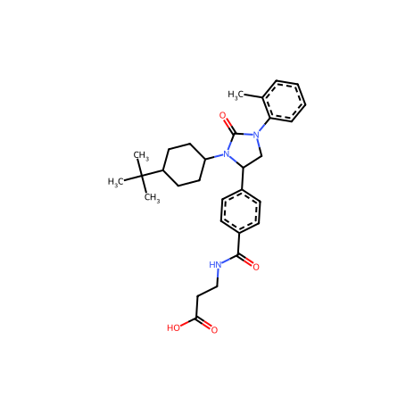 Cc1ccccc1N1CC(c2ccc(C(=O)NCCC(=O)O)cc2)N(C2CCC(C(C)(C)C)CC2)C1=O